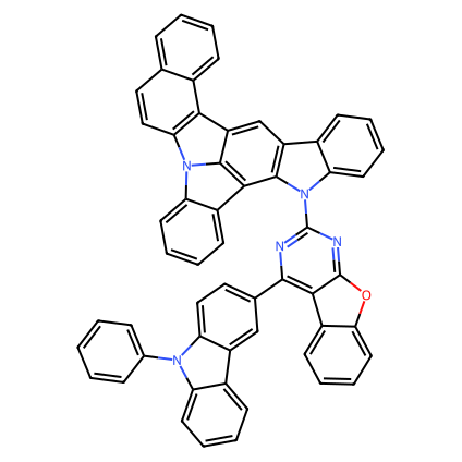 c1ccc(-n2c3ccccc3c3cc(-c4nc(-n5c6ccccc6c6cc7c8c9ccccc9ccc8n8c9ccccc9c(c65)c78)nc5oc6ccccc6c45)ccc32)cc1